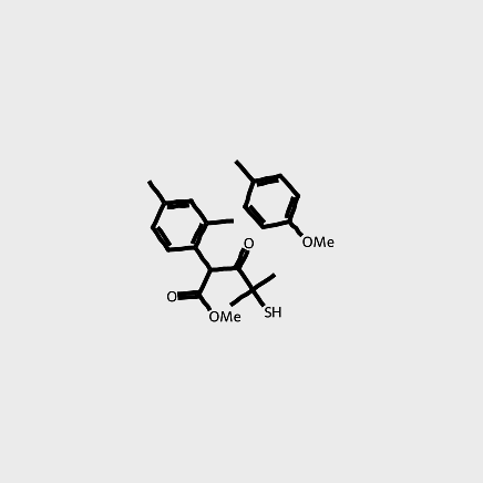 COC(=O)C(C(=O)C(C)(C)S)c1ccc(C)cc1C.COc1ccc(C)cc1